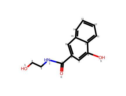 O=C(NCCO)c1cc(O)c2ccccc2c1